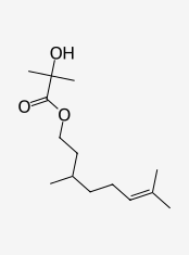 CC(C)=CCCC(C)CCOC(=O)C(C)(C)O